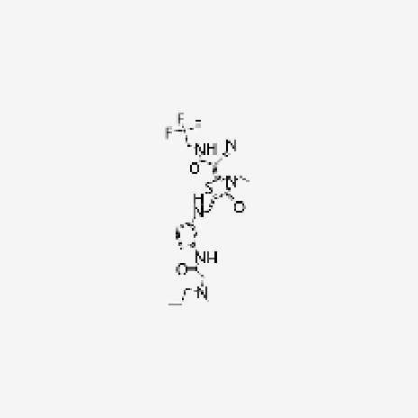 CCCN(C)CC(=O)Nc1cccc(NC=c2sc(=C(C#N)C(=O)NCC(F)(F)F)n(CC)c2=O)c1